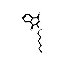 CCCCCCNC1=CC(=O)c2ccccc2C1=O